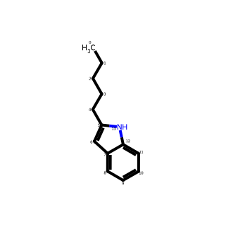 CCCCCc1[c]c2ccccc2[nH]1